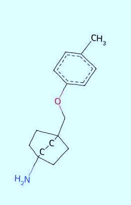 Cc1ccc(OCC23CCC(N)(CC2)CC3)cc1